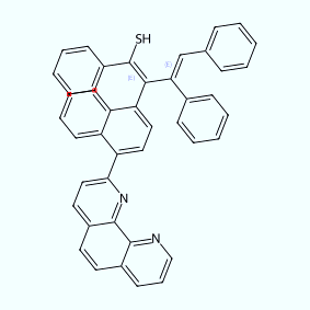 S/C(=C(\C(=C\c1ccccc1)c1ccccc1)c1ccc(-c2ccc3ccc4cccnc4c3n2)c2ccccc12)c1ccccc1